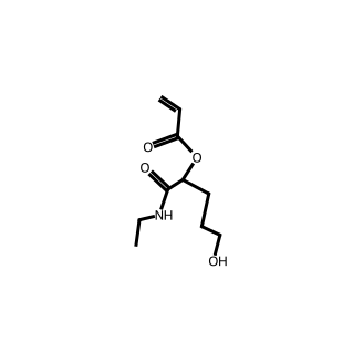 C=CC(=O)OC(CCCO)C(=O)NCC